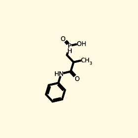 CC(C[PH](=O)O)C(=O)Nc1ccccc1